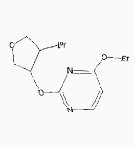 CCOc1ccnc(OC2COCC2C(C)C)n1